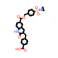 O=C(O)c1ccc(Cc2cc3cc(C(=O)OCc4ccc(S(=O)(=O)N5CC5)cc4)ccc3[nH]c2=O)cc1